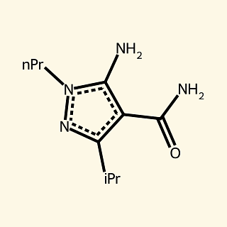 CCCn1nc(C(C)C)c(C(N)=O)c1N